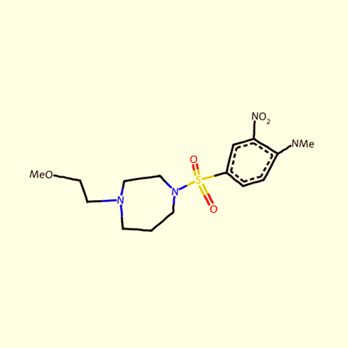 CNc1ccc(S(=O)(=O)N2CCCN(CCOC)CC2)cc1[N+](=O)[O-]